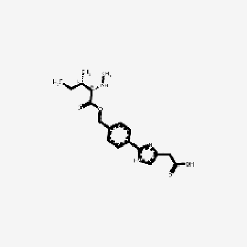 CC[C@H](C)[C@H](NC)C(=O)OCc1ccc(-c2nc(CC(=O)O)c[nH]2)cc1